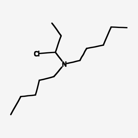 CCCCCN(CCCCC)C(Cl)CC